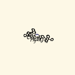 C=CC1=C(/C=C(\C)c2cc3ccccc3c3c2sc2c4c(ccc23)-c2ccccc2C4(C)C)c2ccc(-c3c4ccccc4c(-c4ccccc4)c4ccccc34)cc2C1(C)C